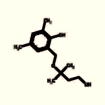 Cc1cc(C)c(O)c(COC(C)(C)CCO)c1